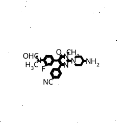 CN(C=O)c1ccc(-c2c(-c3ccc(C#N)cc3)nc(N3CCC(N)CC3)n(C)c2=O)cc1F